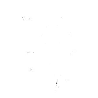 COc1cccc2c1C(=O)c1c(O)c3c(c(O)c1C2=O)C[C@@](O)(C(C)=O)C[C@@H]3O